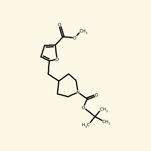 COC(=O)c1ccc(CC2CCN(C(=O)OC(C)(C)C)CC2)o1